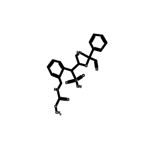 COC(=O)NCc1ccccc1C(C1CNC(C=O)(c2ccccc2)O1)S(=O)(=O)O